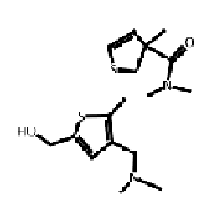 CN(C)C(=O)C1(C)C=CSC1.Cc1sc(CO)cc1CN(C)C